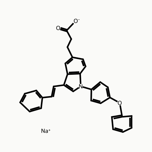 O=C([O-])CCc1ccc2c(c1)c(C=Cc1ccccc1)cn2-c1ccc(Oc2ccccc2)cc1.[Na+]